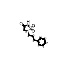 O=C1CN(CCCc2ccccc2)S(=O)(=O)N1